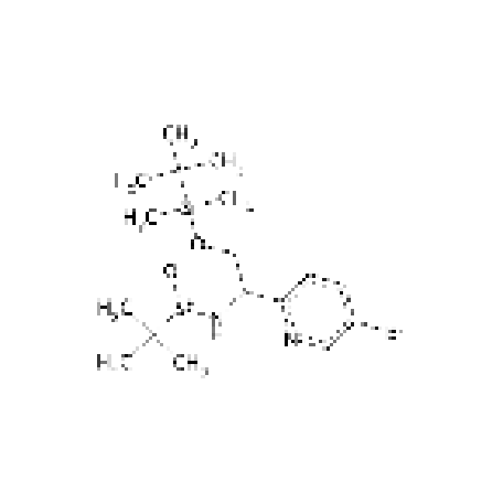 CC(C)(C)[S+]([O-])NC(CO[Si](C)(C)C(C)(C)C)c1ccc(Br)cn1